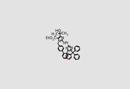 CCCc1nc(C(C)(C)O)c(C(=O)OCC)n1Cc1ccc(-c2ccccc2-c2nnnn2C(c2ccccc2)(c2ccccc2)c2ccccc2)cc1